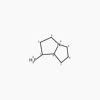 PC1CCN2CCCC12